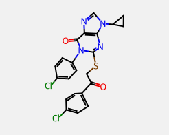 O=C(CSc1nc2c(ncn2C2CC2)c(=O)n1-c1ccc(Cl)cc1)c1ccc(Cl)cc1